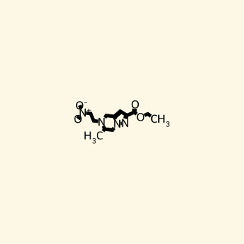 CCOC(=O)c1cc2n(n1)CC(C)N(CC[N+](=O)[O-])C2